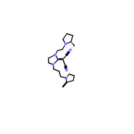 C=C1CCCN1CCCN1CCN(CCN2CCC[C@H]2C)C1=C(C#N)C#N